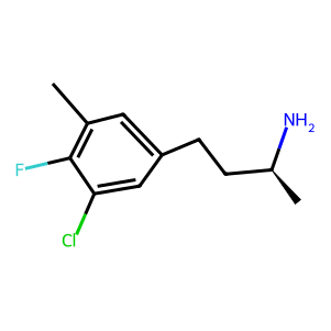 Cc1cc(CC[C@H](C)N)cc(Cl)c1F